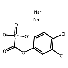 O=C(Oc1ccc(Cl)c(Cl)c1)P(=O)([O-])[O-].[Na+].[Na+]